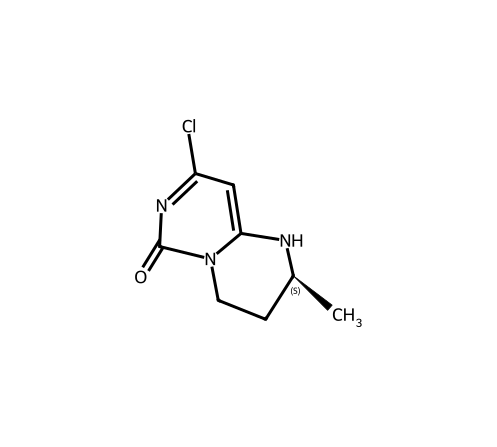 C[C@H]1CCn2c(cc(Cl)nc2=O)N1